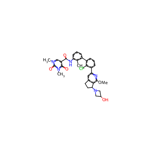 COc1nc(-c2cccc(-c3cccc(NC(=O)c4cn(C)c(=O)n(C)c4=O)c3C)c2Cl)cc2c1C(N1CC(O)C1)CC2